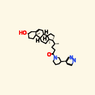 C[C@H](CCC(=O)N1CCCC(c2ccnnc2)C1)[C@H]1CC[C@H]2[C@@H]3CC=C4C[C@@H](O)CC[C@]4(C)[C@H]3CC[C@]12C